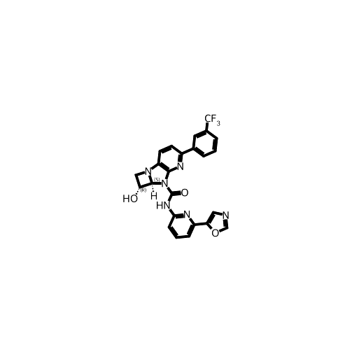 O=C(Nc1cccc(-c2cnco2)n1)N1c2nc(-c3cccc(C(F)(F)F)c3)ccc2N2C[C@@H](O)[C@@H]21